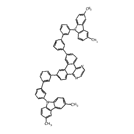 Cc1ccc2c(c1)c1cc(C)ccc1n2-c1cccc(-c2cccc(-c3ccc4c(c3)c3cc(-c5cccc(-c6cccc(-n7c8ccc(C)cc8c8cc(C)ccc87)c6)c5)ccc3c3nccnc43)c2)c1